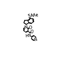 CSc1cccc2c1CCC2n1cccc(C(=O)Nc2ccncc2)c1=O